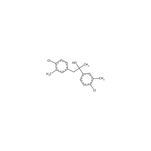 Cc1cc(CC(C)(O)c2ccc(Cl)c(C)c2)ccc1Cl